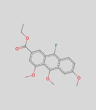 CCOC(=O)c1cc(OC)c2c(OC)c3cc(OC)ccc3c(F)c2c1